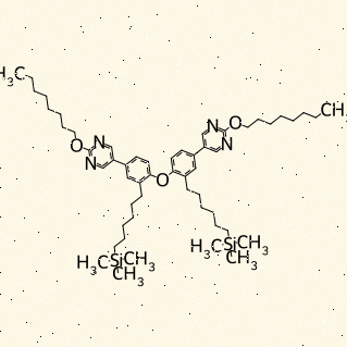 CCCCCCCCOc1ncc(-c2ccc(Oc3ccc(-c4cnc(OCCCCCCCC)nc4)cc3CCCCCC[Si](C)(C)C)c(CCCCCC[Si](C)(C)C)c2)cn1